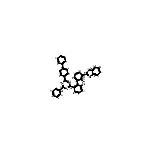 c1ccc(-c2ccc(-c3nc(-c4ccccc4)nc(-c4cccc5oc6c(-c7nc8ccccc8s7)cccc6c45)n3)cc2)cc1